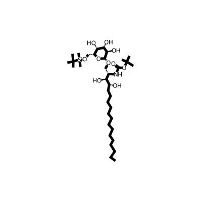 CCCCCCCCCCCCCC[C@@H](O)[C@@H](O)[C@H](CO[C@H]1O[C@H](CO[Si](C)(C)C(C)(C)C)[C@H](O)[C@H](O)[C@H]1O)NC(=O)OC(C)(C)C